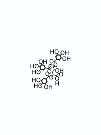 O=C[C@H](O)[C@@H](OC(=O)c1cc(O)c(O)c(O)c1)[C@H](OC(=O)c1cc(O)c(O)c(O)c1)[C@H](O)COC(=O)c1cc(O)c(O)c(O)c1